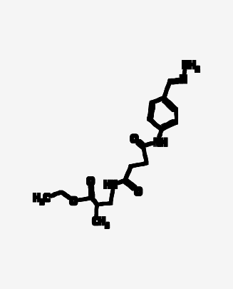 CCOC(=O)C(C)CNC(=O)CCC(=O)Nc1ccc(C=NN)cc1